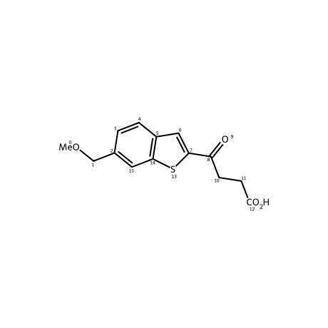 COCc1ccc2cc(C(=O)CCC(=O)O)sc2c1